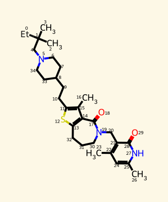 CCC(C)(C)CN1CCC(CCc2sc3c(c2C)C(=O)N(Cc2c(C)cc(C)[nH]c2=O)CCC3)CC1